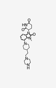 Cn1c(=O)n(C2CCC(=O)NC2=O)c2cccc(N3CCC(CCN4CCNCC4)CC3)c21